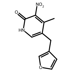 Cc1c(Cc2ccoc2)c[nH]c(=O)c1[N+](=O)[O-]